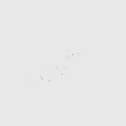 COC(=O)NC[C@H]1CN(c2ccc(N3CCCSCC3)c(F)c2)C(=O)O1